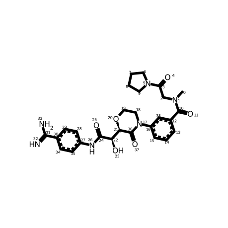 CN(CC(=O)N1CCCC1)C(=O)c1cccc(N2CCO[C@H]([C@@H](O)C(=O)Nc3ccc(C(=N)N)cc3)C2=O)c1